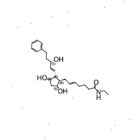 CCNC(=O)CCCC=CC[C@@H]1[C@@H](C=C[C@@H](O)CCc2ccccc2)[C@H](O)C[C@@H]1O